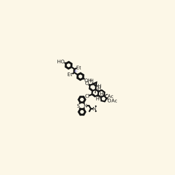 CC(=O)O[C@]1(C(C)=O)CC[C@H]2[C@@H]3C=C(Cl)C4=CC(=O)[C@@H]5C[C@@H]5[C@]4(C)[C@H]3CC[C@@]21C.CC(CN1c2ccccc2Sc2ccccc21)N(C)C.CC/C(=C(/CC)c1ccc(O)cc1)c1ccc(O)cc1